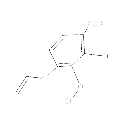 C=COc1ccc(C(=O)O)c(CC)c1OCC